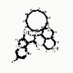 Nc1nn2cc(F)cnc2c1C(=O)NC1C2CCNCC2CNC12CCCCCCCCCC2